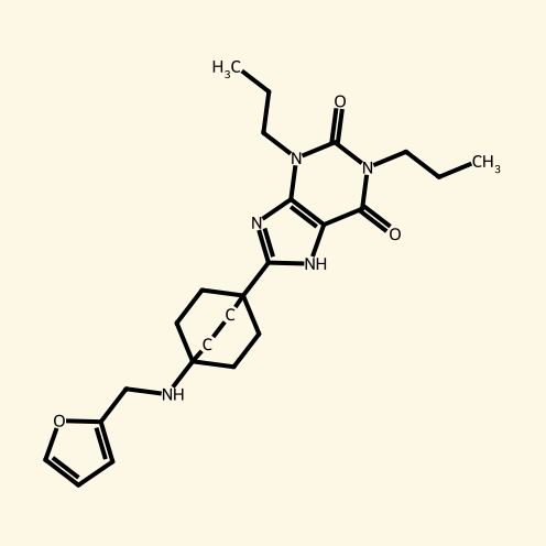 CCCn1c(=O)c2[nH]c(C34CCC(NCc5ccco5)(CC3)CC4)nc2n(CCC)c1=O